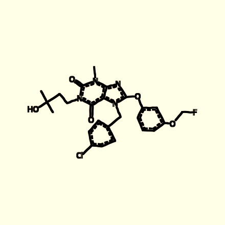 Cn1c(=O)n(CCC(C)(C)O)c(=O)c2c1nc(Oc1cccc(OCF)c1)n2Cc1ccc(Cl)cc1